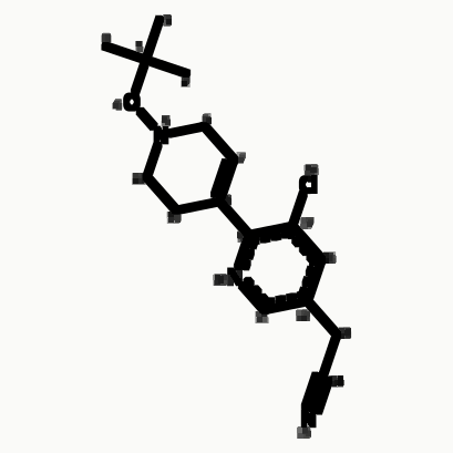 CC(C)(C)ON1CC=C(c2ncc(CC#N)cc2Cl)CC1